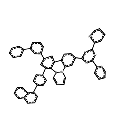 C1=CB2c3c(-c4ccc(-c5cccc6ccccc56)cc4)cc(-c4cccc(-c5ccccc5)c4)cc3-c3ccc(-c4nc(-c5ccccn5)nc(-c5ccccn5)n4)cc3N2C=C1